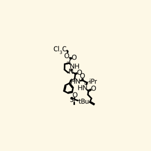 C=CCCC(=O)N[C@H](C(=O)N[C@@H](Cc1cccc(O[Si](C)(C)C(C)(C)C)c1)C(=O)N1CCC[C@@H](C(=O)OCC(Cl)(Cl)Cl)N1)C(C)C